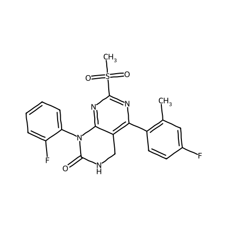 Cc1cc(F)ccc1-c1nc(S(C)(=O)=O)nc2c1CNC(=O)N2c1ccccc1F